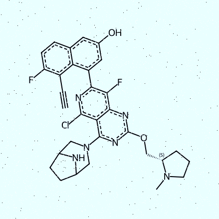 C#Cc1c(F)ccc2cc(O)cc(-c3nc(Cl)c4c(N5CC6CCC(C5)N6)nc(OC[C@@H]5CCCN5C)nc4c3F)c12